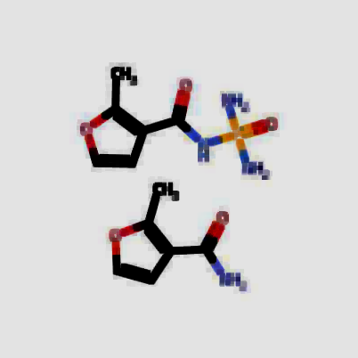 Cc1occc1C(=O)NP(N)(N)=O.Cc1occc1C(N)=O